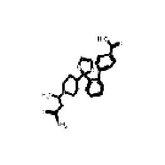 CC(=O)c1ccc(-c2ccccc2C2(C3CCN(C(C)CC(N)=O)CC3)OC=CO2)cc1